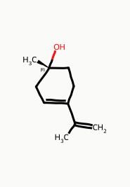 C=C(C)C1=CC[C@](C)(O)CC1